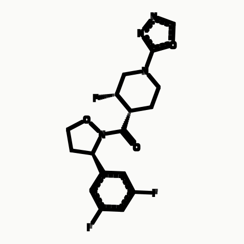 O=C([C@H]1CCN(c2nnco2)C[C@H]1F)N1OCC[C@@H]1c1cc(F)cc(F)c1